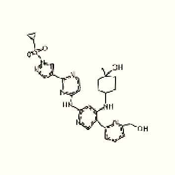 CC1(O)CCC(Nc2cc(Nc3ccnc(-c4cnn(S(=O)(=O)C5CC5)c4)n3)ncc2-c2cccc(CO)n2)CC1